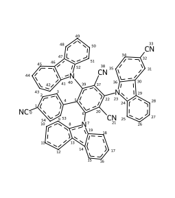 N#Cc1ccc(-c2c(-n3c4ccccc4c4ccccc43)c(C#N)c(-n3c4ccccc4c4cc(C#N)ccc43)c(C#N)c2-n2c3ccccc3c3ccccc32)cc1